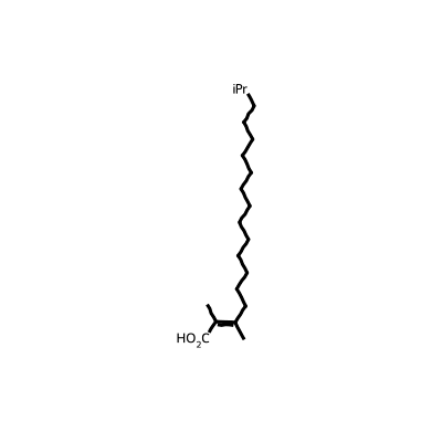 CC(CCCCCCCCCCCCCC(C)C)=C(C)C(=O)O